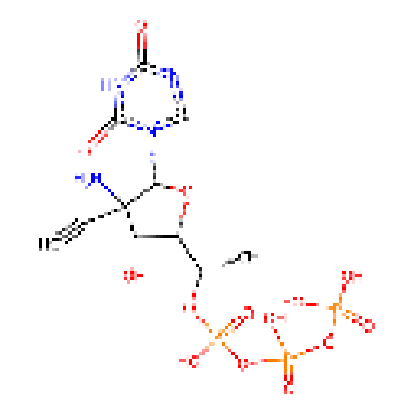 C#CC1(N)[C@@H](O)[C@@H]([C@H](C)OP(=O)(O)OP(=O)(O)OP(=O)(O)O)O[C@H]1n1cnc(=O)[nH]c1=O